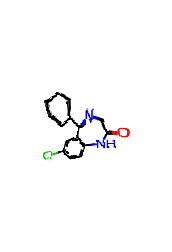 O=C1CN=C(C2=CCCC=C2)c2cc(Cl)ccc2N1